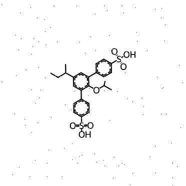 CCC(C)c1cc(-c2ccc(S(=O)(=O)O)cc2)c(OC(C)C)c(-c2ccc(S(=O)(=O)O)cc2)c1